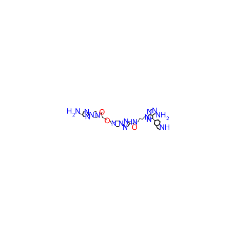 NCc1cnc(N2CCN(C(=O)CCOCCN3CCN(c4ncc(C(=O)NCCCCn5nc(-c6ccc7[nH]ccc7c6)c6c(N)ncnc65)cn4)CC3)CC2)nc1